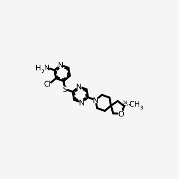 C[C@H]1CC2(CCN(c3cnc(Sc4ccnc(N)c4Cl)cn3)CC2)CO1